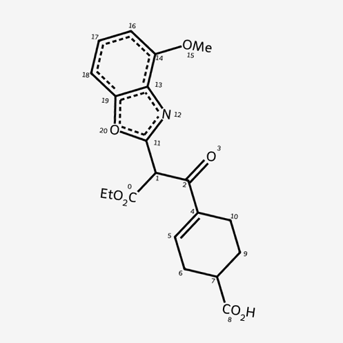 CCOC(=O)C(C(=O)C1=CCC(C(=O)O)CC1)c1nc2c(OC)cccc2o1